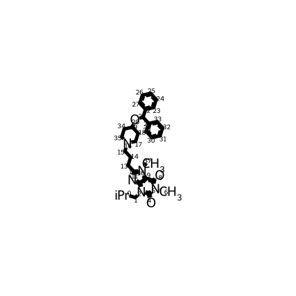 CC(C)Cn1c(=O)n(C)c(=O)c2c1nc(CCCN1CCC(OC(c3ccccc3)c3ccccc3)CC1)n2C